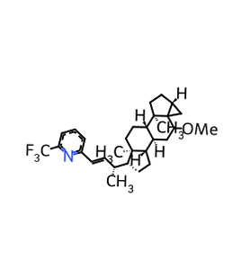 COC1C[C@H]2[C@@H]3CC[C@H]([C@H](C)/C=C/c4cccc(C(F)(F)F)n4)[C@@]3(C)CC[C@@H]2[C@@]2(C)CC[C@@H]3CC132